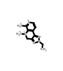 CCn1nc2c(n1)-c1ccnc(N)c1N(C)C2